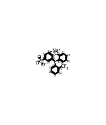 O=S(=O)([O-])c1cccc(P(c2ccccc2C(F)(F)F)c2ccccc2C(F)(F)F)c1.[Na+]